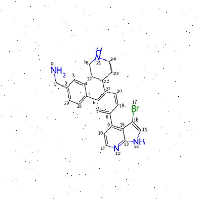 NCc1ccc(-c2cc(-c3ccnc4[nH]cc(Br)c34)ccc2C2CCNCC2)cc1